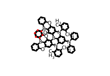 Cc1cccc(C)c1N1c2cc(N(c3ccccc3)c3ccccc3)cc3c2B(c2c1cc1c4c2Oc2ccccc2B4c2ccccc2O1)c1c(cc2c4c1Oc1ccccc1B4c1ccccc1O2)N3c1c(C)cccc1C